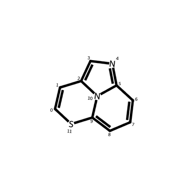 C1=Cc2cnc3cccc(n23)S1